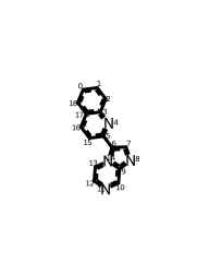 c1ccc2nc(-c3cnc4cnccn34)ccc2c1